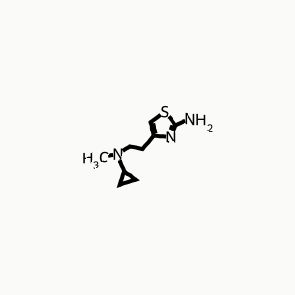 CN(CCc1csc(N)n1)C1CC1